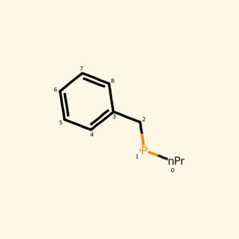 CCC[P]Cc1ccccc1